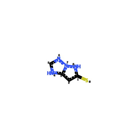 S=c1cc2[nH]cnn2[nH]1